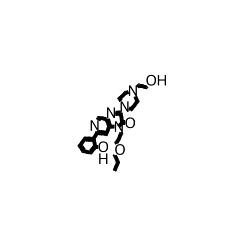 CCCOCCn1c(=O)c(N2CCN(CCO)CC2)nc2cnc(-c3ccccc3O)cc21